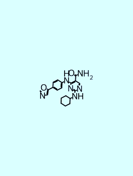 NC(=O)c1cnc(NC2CCCCC2)nc1Nc1ccc(-c2cnco2)cc1